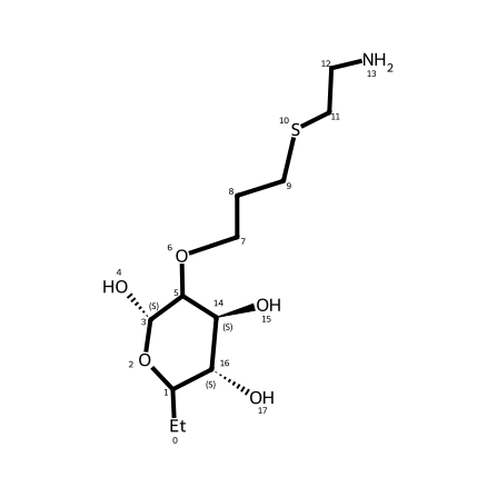 CCC1O[C@H](O)C(OCCCSCCN)[C@@H](O)[C@@H]1O